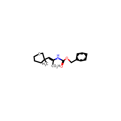 CC1(/C=C(/NC(=O)OCc2ccccc2)C(=O)O)CCCCC1